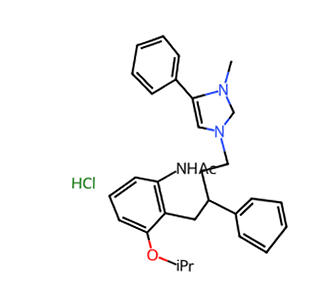 CC(=O)Nc1cccc(OC(C)C)c1CC(CCN1C=C(c2ccccc2)N(C)C1)c1ccccc1.Cl